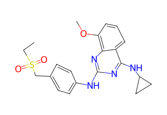 CCS(=O)(=O)Cc1ccc(Nc2nc(NC3CC3)c3cccc(OC)c3n2)cc1